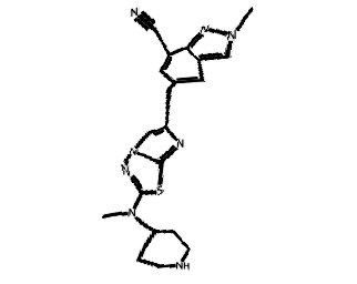 CN(c1nn2cc(-c3cc(C#N)c4nn(C)cc4c3)nc2s1)C1CCNCC1